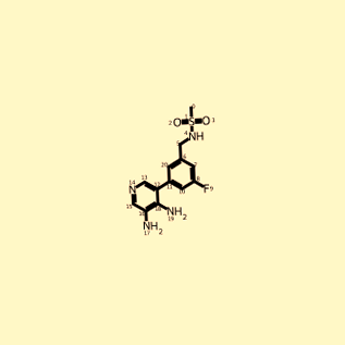 CS(=O)(=O)NCc1cc(F)cc(-c2cncc(N)c2N)c1